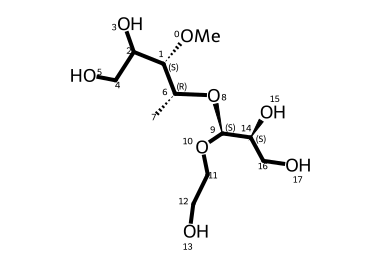 CO[C@@H](C(O)CO)[C@@H](C)O[C@H](OCCO)[C@@H](O)CO